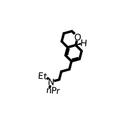 CCCN(CC)CCCC1=CC[C@H]2OCCCC2=C1